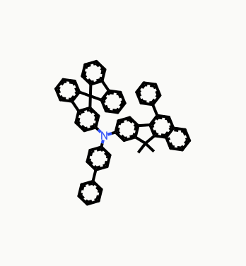 CC1(C)c2cc(N(c3ccc(-c4ccccc4)cc3)c3ccc4c(c3)C3(c5ccccc5-c5ccccc53)c3ccccc3-4)ccc2-c2c(-c3ccccc3)cc3ccccc3c21